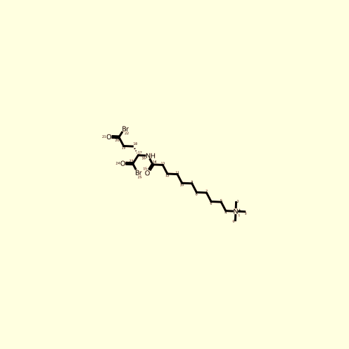 C[N+](C)(C)CCCCCCCCCCC(=O)N[C@@H](CCC(=O)Br)C(=O)Br